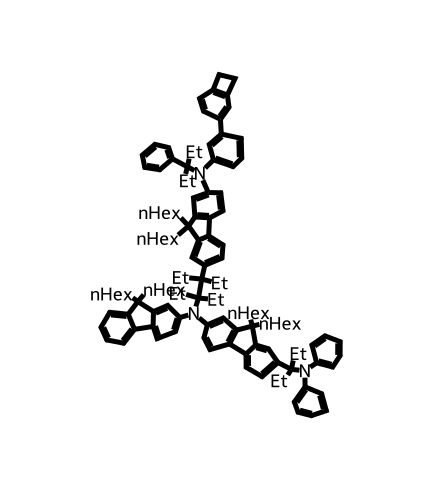 CCCCCCC1(CCCCCC)c2ccccc2-c2ccc(N(c3ccc4c(c3)C(CCCCCC)(CCCCCC)c3cc(C(CC)(CC)N(c5ccccc5)c5ccccc5)ccc3-4)C(CC)(CC)C(CC)(CC)c3ccc4c(c3)C(CCCCCC)(CCCCCC)c3cc(N(c5cccc(-c6ccc7c(c6)CC7)c5)C(CC)(CC)c5ccccc5)ccc3-4)cc21